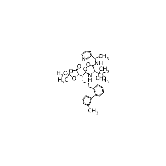 Cc1cccc(-c2ccccc2CCC[C@@H](C(=O)N[C@H](C(=O)N[C@H](C)c2cccnc2)C(C)(C)C)[C@@H]2OC(C)(C)OC2=O)c1